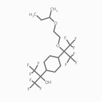 CCC(C)OCCOC(C1CCC(C(O)(C(F)(F)F)C(F)(F)F)CC1)(C(F)(F)F)C(F)(F)F